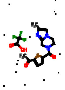 O=C(O)C(F)(F)F.O=C(c1ccc(C(=O)C(F)(F)F)s1)N1CCn2cc(C(F)(F)F)nc2C1